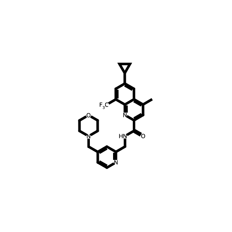 Cc1cc(C(=O)NCc2cc(CN3CCOCC3)ccn2)nc2c(C(F)(F)F)cc(C3CC3)cc12